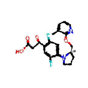 Cc1cccnc1OC[C@H]1CCCN1c1cc(F)c(C(=O)CC(=O)O)cc1F